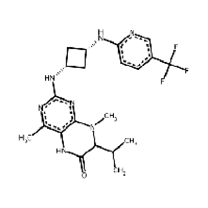 Cc1nc(N[C@H]2C[C@@H](Nc3ccc(C(F)(F)F)cn3)C2)nc2c1NC(=O)C(C(C)C)N2C